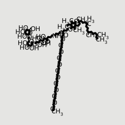 CCc1c(C)c2c(c(C)c1OCCCN(CCCNCCCC(=O)[C@H](O)[C@@H](O)[C@H](O)[C@H](O)CO[C@H]1O[C@H](CO[C@H]3O[C@H](CO)[C@@H](O)[C@H](O)[C@H]3O)[C@@H](O)[C@H](O)[C@H]1O)C(=O)COCCOCCOCCOCCOCCOCCOCCOCCOCCOCCOCCOC)CC[C@@](C)(CCC[C@H](C)CCC[C@H](C)CCCC(C)CC)O2